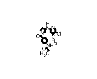 C=CC(=O)Nc1ccc(C(=O)N2CCC(Nc3cc(C)c(Cl)cn3)C2)cc1